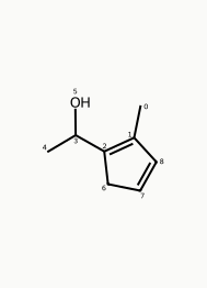 CC1=C(C(C)O)CC=C1